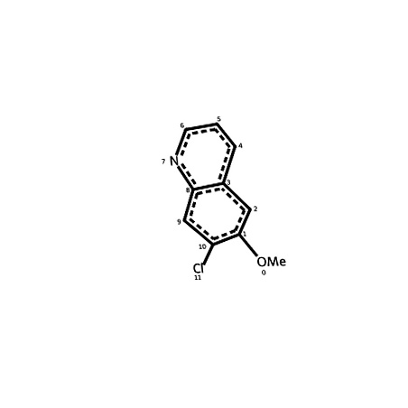 COc1cc2cccnc2cc1Cl